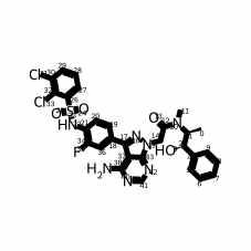 C[C@@H]([C@@H](O)c1ccccc1)N(C)C(=O)Cn1nc(-c2ccc(NS(=O)(=O)c3cccc(Cl)c3Cl)c(F)c2)c2c(N)ncnc21